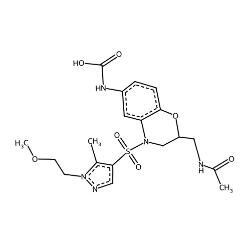 COCCn1ncc(S(=O)(=O)N2CC(CNC(C)=O)Oc3ccc(NC(=O)O)cc32)c1C